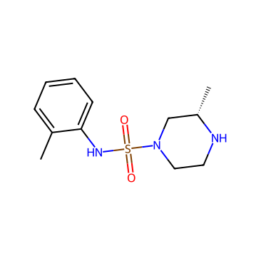 Cc1ccccc1NS(=O)(=O)N1CCN[C@@H](C)C1